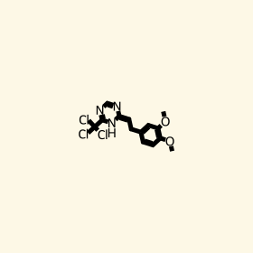 COc1ccc(CC=C2N=CN=C(C(Cl)(Cl)Cl)N2)cc1OC